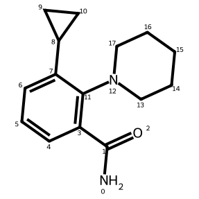 NC(=O)c1cccc(C2CC2)c1N1CCCCC1